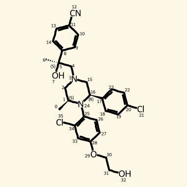 C[C@H]1CN(C[C@@](C)(O)c2ccc(C#N)cc2)C[C@@H](c2ccc(Cl)cc2)N1c1ccc(OCCO)cc1Cl